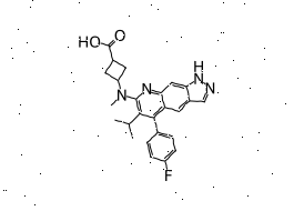 CC(C)c1c(N(C)C2CC(C(=O)O)C2)nc2cc3[nH]ncc3cc2c1-c1ccc(F)cc1